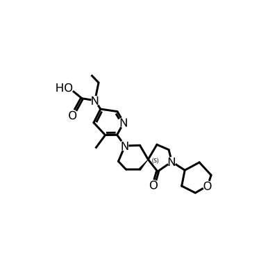 CCN(C(=O)O)c1cnc(N2CCC[C@]3(CCN(C4CCOCC4)C3=O)C2)c(C)c1